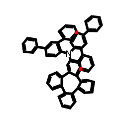 c1ccc(-c2ccc(N(c3ccc4c(c3)-c3ccccc3-c3ccccc3-c3ccccc3-4)c3ccc(-c4ccccc4)cc3-c3ccccc3)c(-c3ccccc3)c2)cc1